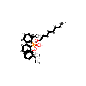 Cc1ccccc1OP(O)(OCCCCCCCC(C)C)(c1ccccc1C)c1ccccc1C